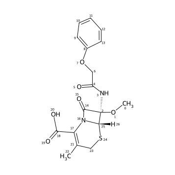 CO[C@]1(NC(=O)COc2ccccc2)C(=O)N2C(C(=O)O)=C(C)CS[C@H]21